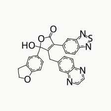 O=C1OC(O)(c2ccc3c(c2)CCO3)C(Cc2ccc3nccnc3c2)=C1c1ccc2nsnc2c1